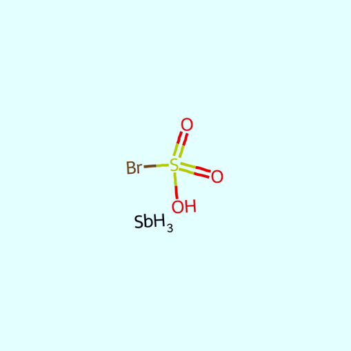 O=S(=O)(O)Br.[SbH3]